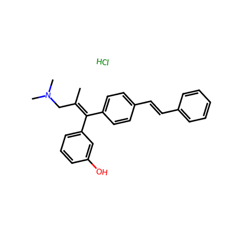 C/C(CN(C)C)=C(\c1ccc(C=Cc2ccccc2)cc1)c1cccc(O)c1.Cl